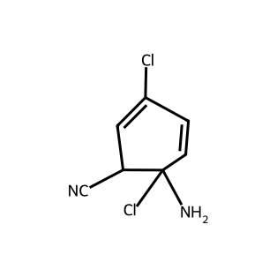 N#CC1C=C(Cl)C=CC1(N)Cl